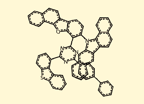 c1ccc(-c2ccc(-c3nc(-c4c(-n5c6cc7ccccc7cc6c6ccc7ccccc7c65)ccc5c4oc4c6ccccc6ccc54)nc(-c4cccc5sc6ccccc6c45)n3)cc2)cc1